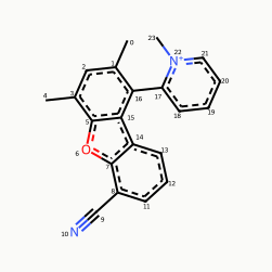 Cc1cc(C)c2oc3c(C#N)cccc3c2c1-c1cccc[n+]1C